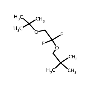 CC(C)(C)COC(F)(F)COC(C)(C)C